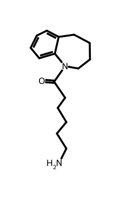 NCCCCCC(=O)N1CCCCc2ccccc21